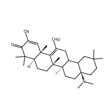 CN(C)[C@]12CCC(C)(C)CC1C1CC(C=O)=C3[C@@]4(C)C=C(C#N)C(=O)C(C)(C)[C@@H]4CC[C@@]3(C)[C@]1(C)CC2